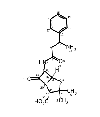 CC1(C)S[C@@H]2[C@H](NC(=O)CC(N)c3ccccc3)C(=O)N2[C@H]1C(=O)O